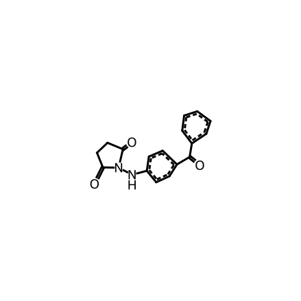 O=C(c1ccccc1)c1ccc(NN2C(=O)CCC2=O)cc1